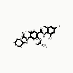 Cc1cc(F)cc(Cl)c1NC(=O)c1cc(F)c(-n2nc3n(c2=O)CCOC3)cc1O[C@@H](C)C(F)(F)F